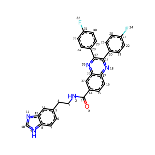 O=C(NCCc1ccc2[nH]cnc2c1)c1ccc2nc(-c3ccc(F)cc3)c(-c3ccc(F)cc3)nc2c1